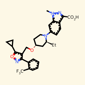 CC[C@H]1C[C@H](OCc2c(-c3ccccc3C(F)(F)F)noc2C2CC2)CCN1c1ccc2c(C(=O)O)nn(C)c2c1